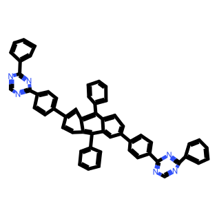 c1ccc(-c2ncnc(-c3ccc(-c4ccc5c(-c6ccccc6)c6cc(-c7ccc(-c8ncnc(-c9ccccc9)n8)cc7)ccc6c(-c6ccccc6)c5c4)cc3)n2)cc1